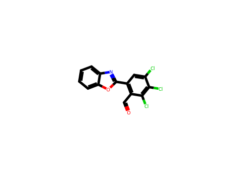 O=Cc1c(-c2nc3ccccc3o2)cc(Cl)c(Cl)c1Cl